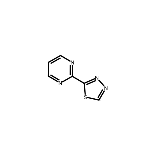 [c]1nnc(-c2ncccn2)s1